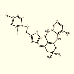 CC1(C)CC(=O)C2=C(C1)Nc1c(O)cccc1NC2c1ccc(COc2ccc(F)cc2F)o1